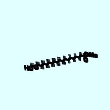 COC(=O)CCCCCCCCCCCCCCCCCOCO